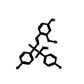 CCOc1cc(C(C)(C)C)ccc1/C=N/C(C)(c1ccc(Cl)cc1)C(C)(NC)c1ccc(Cl)cc1